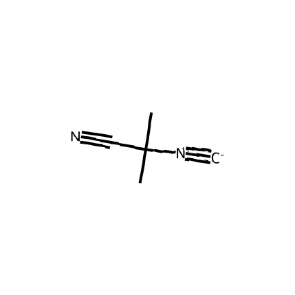 [C-]#[N+]C(C)(C)C#N